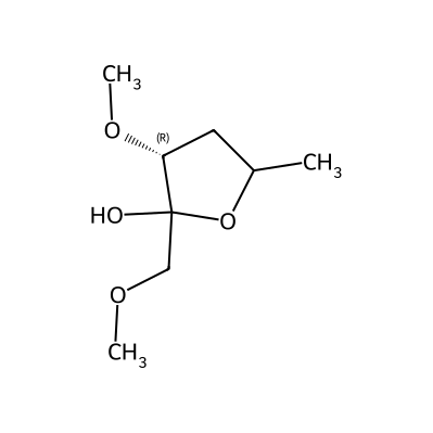 COCC1(O)OC(C)C[C@H]1OC